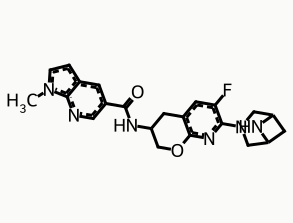 Cn1ccc2cc(C(=O)NC3COc4nc(N5CC6CC(C5)N6)c(F)cc4C3)cnc21